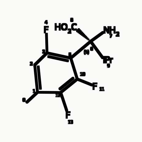 Cc1cc(F)c([C@](N)(C(=O)O)C(C)C)c(F)c1F